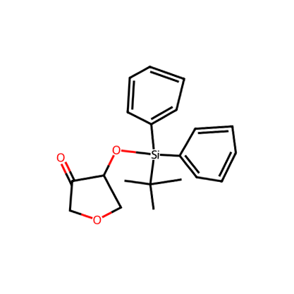 CC(C)(C)[Si](OC1COCC1=O)(c1ccccc1)c1ccccc1